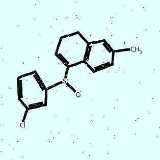 Cc1ccc2c(c1)CCC=C2[S+]([O-])c1cccc(Cl)c1